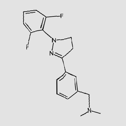 CN(C)Cc1cccc(C2=NN(c3c(F)cccc3F)CC2)c1